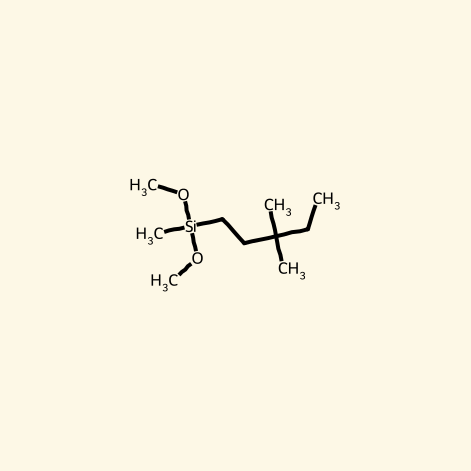 CCC(C)(C)CC[Si](C)(OC)OC